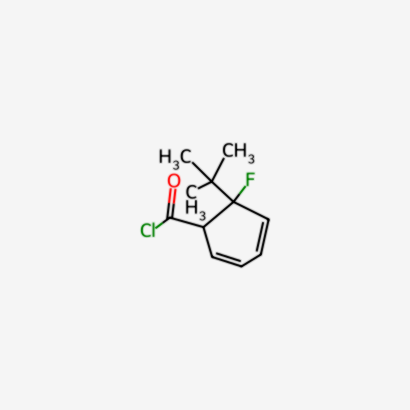 CC(C)(C)C1(F)C=CC=CC1C(=O)Cl